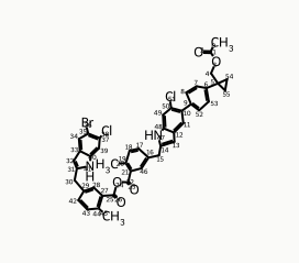 CC(=O)OCC1(c2ccc(-c3cc4cc(Cc5ccc(C)c(C(=O)OC(=O)c6cc(Cc7cc8cc(Br)c(Cl)cc8[nH]7)ccc6C)c5)[nH]c4cc3Cl)cc2)CC1